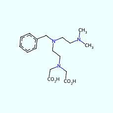 CN(C)CCN(CCN(CC(=O)O)CC(=O)O)Cc1ccccc1